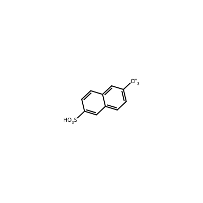 O=S(=O)(O)c1ccc2cc(C(F)(F)F)ccc2c1